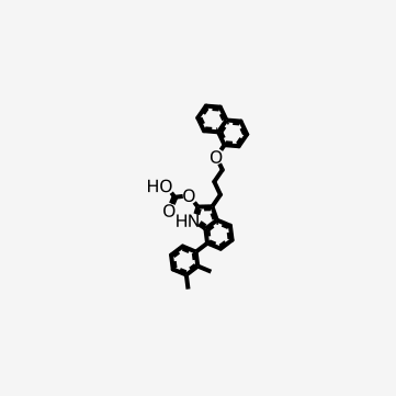 Cc1cccc(-c2cccc3c(CCCOc4cccc5ccccc45)c(OC(=O)O)[nH]c23)c1C